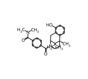 CN(C)C(=O)c1ccc(C(=O)N2CC[C@@]3(C)c4cccc(O)c4CC2C3(C)C)cc1